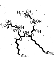 CCCCCCCCCCCCCCCC(=O)OC(CO)COP(=O)(O)OCC[N+](C)(C)C.CCCCCCCCCCCCCCCCCC(=O)OCC(O)COP(=O)(O)OCC[N+](C)(C)C